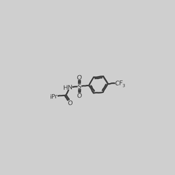 CC(C)C(=O)NS(=O)(=O)c1ccc(C(F)(F)F)cc1